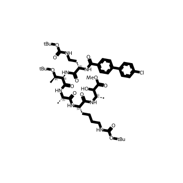 COC(=O)C(O)[C@H](C)NC(=O)[C@H](CCCCNC(=O)OC(C)(C)C)NC(=O)[C@H](C)NC(=O)[C@@H](NC(=O)[C@H](CCNC(=O)OC(C)(C)C)NC(=O)c1ccc(-c2ccc(Cl)cc2)cc1)[C@@H](C)OC(C)(C)C